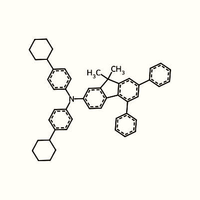 CC1(C)c2cc(N(c3ccc(C4CCCCC4)cc3)c3ccc(C4CCCCC4)cc3)ccc2-c2c(-c3ccccc3)cc(-c3ccccc3)cc21